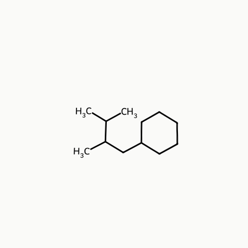 CC(C)C(C)CC1CCCCC1